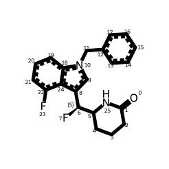 O=C1CCCC([C@@H](F)c2cn(Cc3ccccc3)c3cccc(F)c23)N1